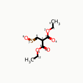 CCOC(=O)C(C=S=O)C(=O)OCC